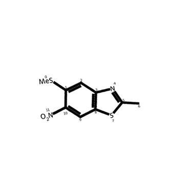 CSc1cc2nc(C)sc2cc1[N+](=O)[O-]